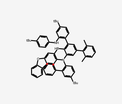 Cc1cccc(C)c1-c1cc(-c2ccc(C(C)(C)C)cc2Nc2ccc(C(C)(C)C)cc2)c2c(c1)N(c1ccc(C(C)(C)C)cc1-c1ccccc1)c1cc3c(cc1B2)oc1ccccc13